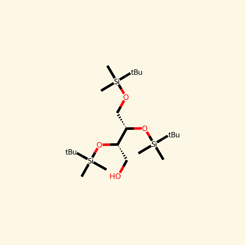 CC(C)(C)[Si](C)(C)OC[C@H](O[Si](C)(C)C(C)(C)C)[C@H](CO)O[Si](C)(C)C(C)(C)C